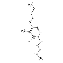 COCCOc1ccc(OCCOC)c(F)c1C